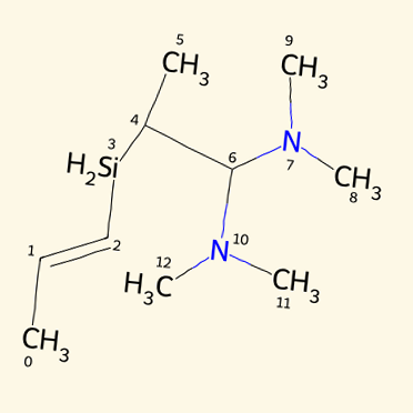 CC=C[SiH2]C(C)C(N(C)C)N(C)C